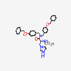 O=C(O)NC(CN1C=CNC1)C(=O)N(Cc1ccc(OCc2ccccc2)cc1)Cc1ccc(OCc2ccccc2)cc1